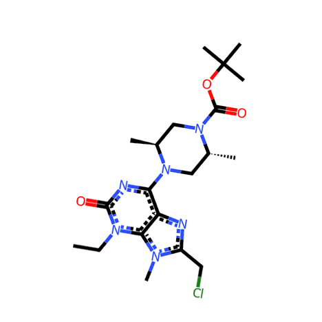 CCn1c(=O)nc(N2C[C@@H](C)N(C(=O)OC(C)(C)C)C[C@@H]2C)c2nc(CCl)n(C)c21